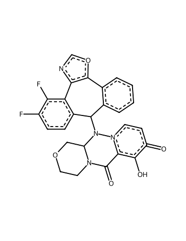 O=C1c2c(O)c(=O)ccn2N(C2c3ccccc3-c3ocnc3-c3c2ccc(F)c3F)C2COCCN12